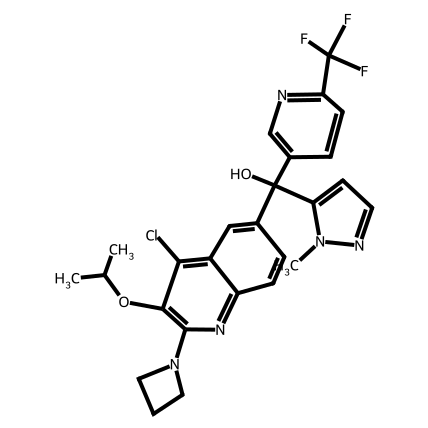 CC(C)Oc1c(N2CCC2)nc2ccc(C(O)(c3ccc(C(F)(F)F)nc3)c3ccnn3C)cc2c1Cl